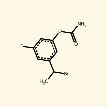 CC(Br)c1cc(F)cc(OC(N)=O)c1